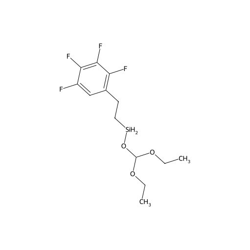 CCOC(OCC)O[SiH2]CCc1cc(F)c(F)c(F)c1F